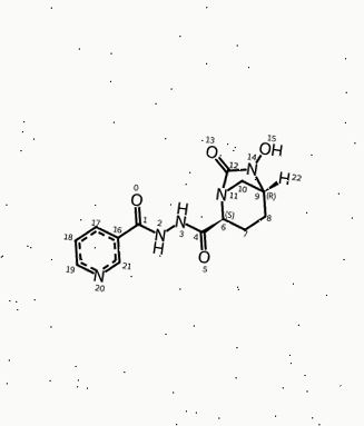 O=C(NNC(=O)[C@@H]1CC[C@@H]2CN1C(=O)N2O)c1cccnc1